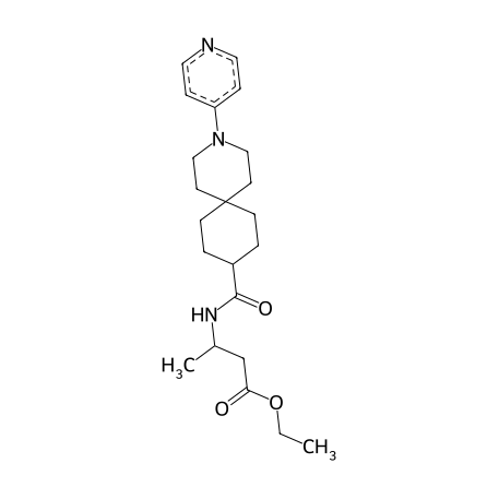 CCOC(=O)CC(C)NC(=O)C1CCC2(CC1)CCN(c1ccncc1)CC2